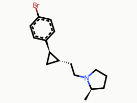 C[C@@H]1CCCN1CC[C@@H]1C[C@H]1c1ccc(Br)cc1